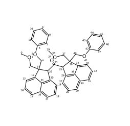 COCC1(COc2ccccc2)c2cccc3cccc(c23)C1C(=O)C1c2cccc3cccc(c23)C1(COC)COc1ccccc1